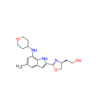 Cc1cc(NC2CCOCC2)c2[nH]c(C3=N[C@@H](CCO)CO3)cc2c1